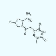 Cc1cn(CC(=O)N2CC(F)CC2C(N)=O)c(=O)[nH]c1=O